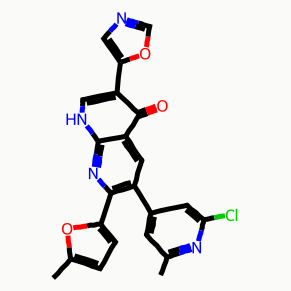 Cc1cc(-c2cc3c(=O)c(-c4cnco4)c[nH]c3nc2-c2ccc(C)o2)cc(Cl)n1